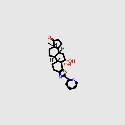 C[C@]12CC[C@H]3[C@@H](C[C@H](O)[C@@]4(O)c5sc(-c6ccccn6)nc5CC[C@]34C)[C@@H]1CCC2=O